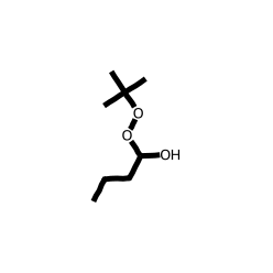 CCCC(O)OOC(C)(C)C